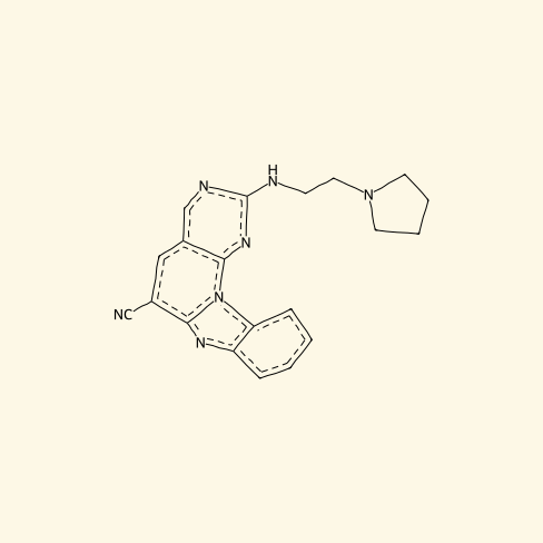 N#Cc1cc2cnc(NCCN3CCCC3)nc2n2c1nc1ccccc12